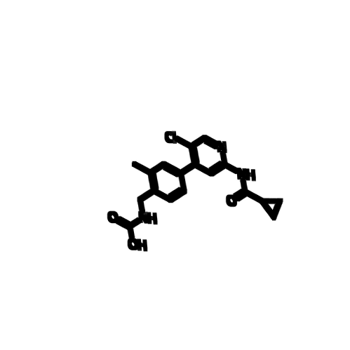 Cc1cc(-c2cc(NC(=O)C3CC3)ncc2Cl)ccc1CNC(=O)O